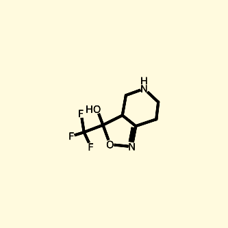 OC1(C(F)(F)F)ON=C2CCNCC21